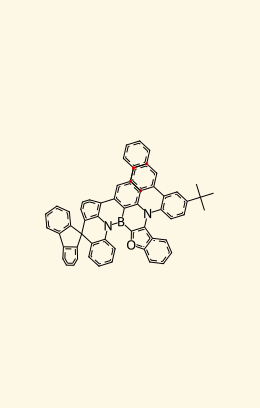 CC(C)(C)c1ccc(N2c3cc(-c4ccccc4)cc4c3B(c3oc5ccccc5c32)N2c3ccccc3C3(c5ccccc5-c5ccccc53)c3cccc-4c32)c(-c2ccccc2)c1